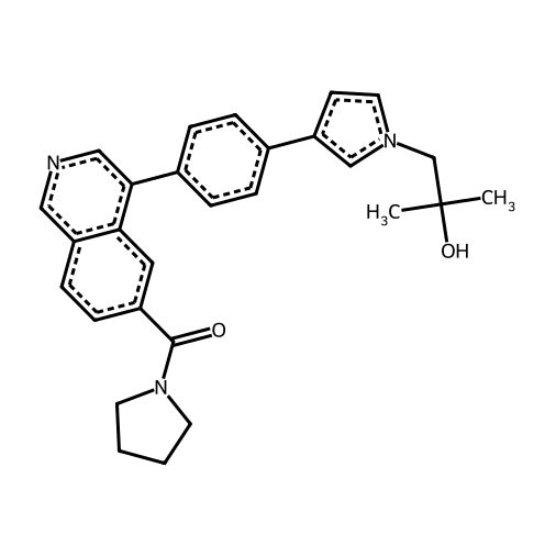 CC(C)(O)Cn1ccc(-c2ccc(-c3cncc4ccc(C(=O)N5CCCC5)cc34)cc2)c1